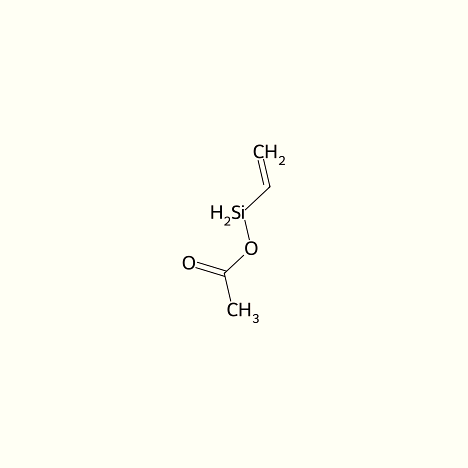 C=C[SiH2]OC(C)=O